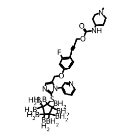 BC1(B)C(B)(B)C(B)(B)C(B)(Sc2ncc(COc3ccc(C#CCOC(=O)NC4CCN(C)CC4)c(F)c3)n2-c2cccnc2)C1(B)B